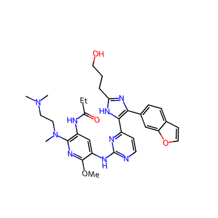 CCC(=O)Nc1cc(Nc2nccc(-c3[nH]c(CCCO)nc3-c3ccc4ccoc4c3)n2)c(OC)nc1N(C)CCN(C)C